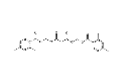 Cc1ccc(C(=O)OCOC(=O)CC(=O)OCOC(=O)c2ccc(C)cc2C)c(C)c1